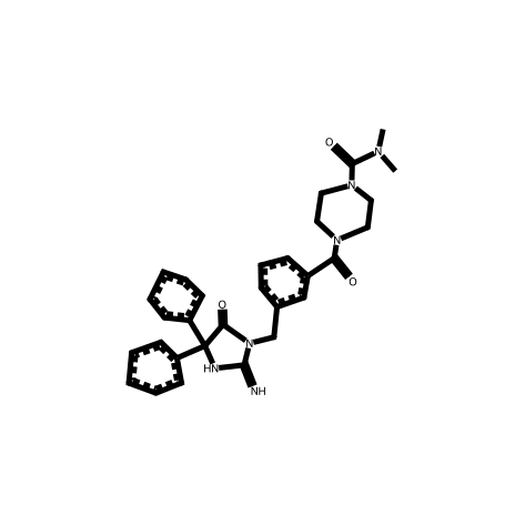 CN(C)C(=O)N1CCN(C(=O)c2cccc(CN3C(=N)NC(c4ccccc4)(c4ccccc4)C3=O)c2)CC1